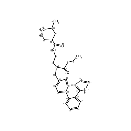 CCCC(=O)N(CCNC(=O)C(CS)CC(C)C)Cc1ccc(-c2ccccc2-c2nnn[nH]2)cc1